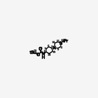 CC(C)N1CCN([C@H]2CC[C@H](NC(=O)OC(C)(C)C)CC2)CC1